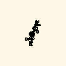 CCON=c1sc2cc(N3C[C@H](CN(C(C)=O)C(C)=O)OC3=O)ccc2n1CC